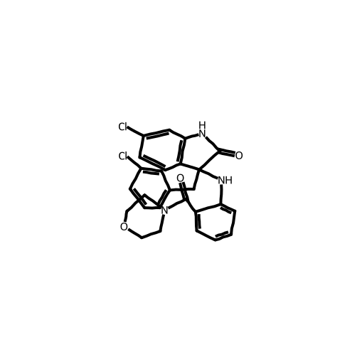 O=C(c1ccccc1NC1(Cc2cccc(Cl)c2)C(=O)Nc2cc(Cl)ccc21)N1CCOCC1